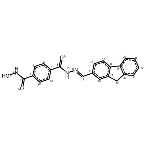 O=C(NO)c1ccc(C(=O)N/N=C/c2ccc3c(c2)Cc2ccccc2-3)cc1